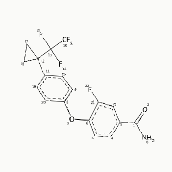 NC(=O)c1ccc(Oc2ccc(C3(C(F)(F)C(F)(F)F)CC3)cc2)c(F)c1